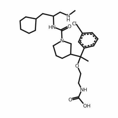 CNCC(CC1CCCCC1)NC(=O)N1CCCC(C(C)(OCCNC(=O)O)c2cccc(Cl)c2)C1